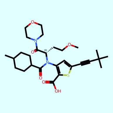 COCC[C@@H](C(=O)N1CCOCC1)N(C(=O)C1CCC(C)CC1)c1cc(C#CC(C)(C)C)sc1C(=O)O